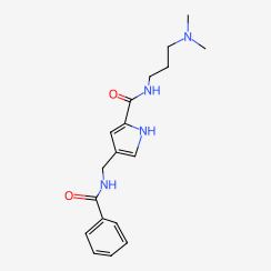 CN(C)CCCNC(=O)c1cc(CNC(=O)c2ccccc2)c[nH]1